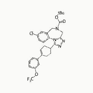 CC(C)(C)OC(=O)N1Cc2cc(Cl)ccc2-n2c(nnc2C2CC=C(c3cccc(OC(F)(F)F)c3)CC2)C1